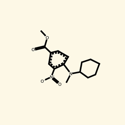 COC(=O)c1ccc(N(C)C2CCCCC2)c([N+](=O)[O-])c1